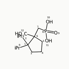 CC(C)C1(C(C)C)CCCC1(CP(=O)(O)O)C(=O)O